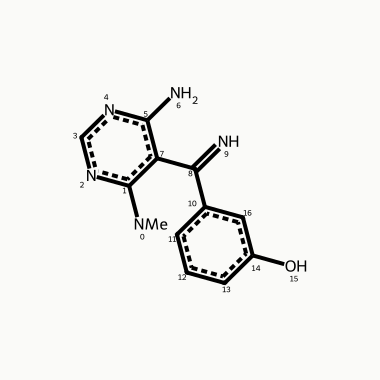 CNc1ncnc(N)c1C(=N)c1cccc(O)c1